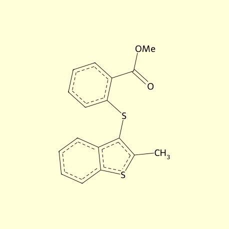 COC(=O)c1ccccc1Sc1c(C)sc2ccccc12